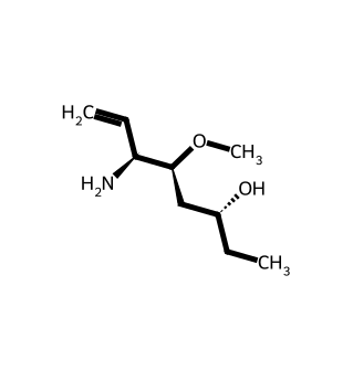 C=C[C@H](N)[C@H](C[C@H](O)CC)OC